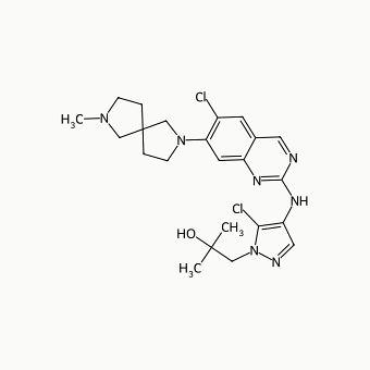 CN1CCC2(CCN(c3cc4nc(Nc5cnn(CC(C)(C)O)c5Cl)ncc4cc3Cl)C2)C1